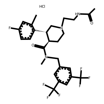 CC(=O)NCCN1CC[C@@H](C(=O)N(C)Cc2cc(C(F)(F)F)cc(C(F)(F)F)c2)[C@H](c2ccc(F)cc2C)C1.Cl